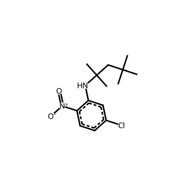 CC(C)(C)CC(C)(C)Nc1cc(Cl)ccc1[N+](=O)[O-]